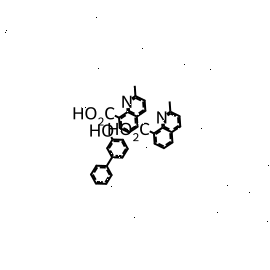 Cc1ccc2cccc(C(=O)O)c2n1.Cc1ccc2cccc(C(=O)O)c2n1.Oc1cccc(-c2ccccc2)c1